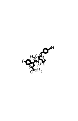 Cc1c(NC(=O)c2cc(C(N)=O)nc3cc(F)ccc23)c(C(F)(F)F)nn1Cc1ccc(C#N)cc1